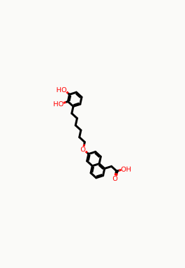 O=C(O)Cc1cccc2cc(OCCCCCCc3cccc(O)c3O)ccc12